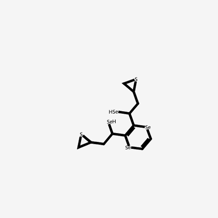 [SeH]C(CC1CS1)C1=C(C([SeH])CC2CS2)[Se]C=C[Se]1